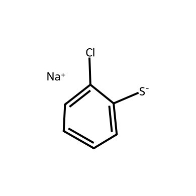 [Na+].[S-]c1ccccc1Cl